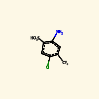 Nc1cc(C(F)(F)F)c(Cl)cc1S(=O)(=O)O